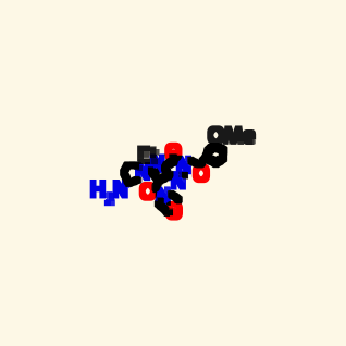 CCn1c(N2CCC[C@H](N)C2)c(C(=O)N2CCOCC2)c2ncn(CC(=O)c3cccc(OC)c3)c(=O)c21